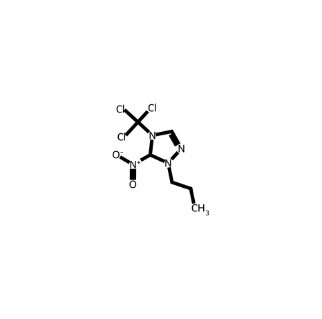 CCCN1N=CN(C(Cl)(Cl)Cl)C1[N+](=O)[O-]